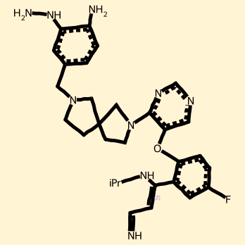 CC(C)N/C(=C\C=N)c1cc(F)ccc1Oc1cncnc1N1CCC2(CCN(Cc3ccc(N)c(NN)c3)C2)C1